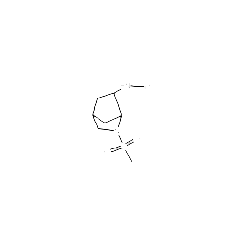 CC(C)NC1CC2CC1N(S(C)(=O)=O)C2